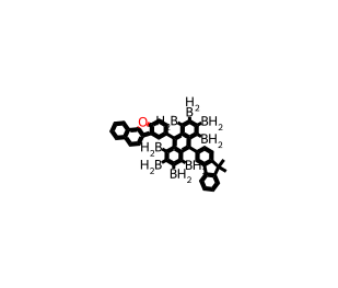 Bc1c(B)c(B)c2c(-c3ccc4oc5c6ccccc6ccc5c4c3)c3c(B)c(B)c(B)c(B)c3c(-c3ccc4c(c3)-c3ccccc3C4(C)C)c2c1B